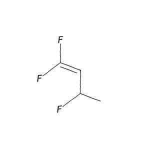 CC(F)C=C(F)F